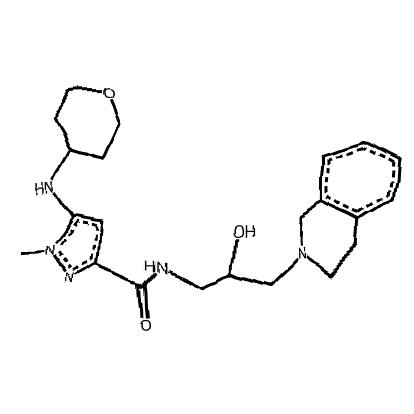 Cn1nc(C(=O)NCC(O)CN2CCc3ccccc3C2)cc1NC1CCOCC1